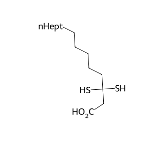 CCCCCCCCCCCCC(S)(S)CC(=O)O